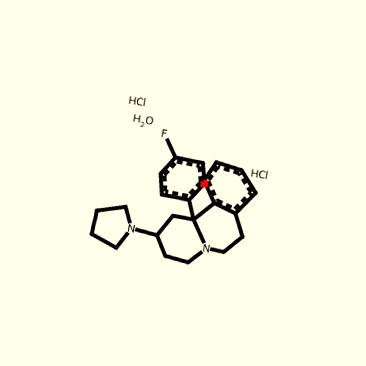 Cl.Cl.Fc1ccc(C23CC(N4CCCC4)CCN2CCc2ccccc23)cc1.O